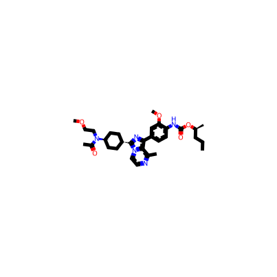 CCC[C@H](C)OC(=O)Nc1ccc(-c2nc([C@H]3CC[C@H](N(CCOC)C(C)=O)CC3)n3ccnc(C)c23)cc1OC